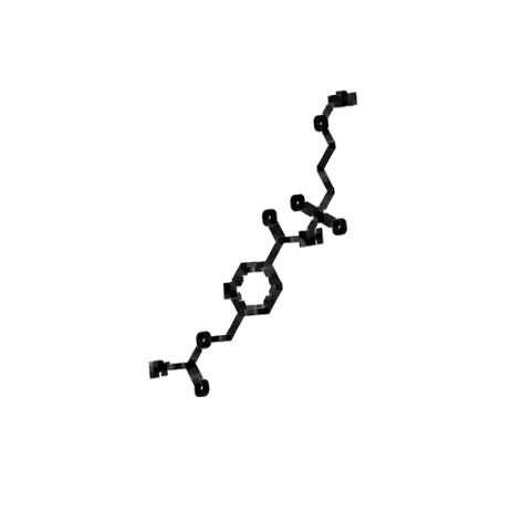 CCCCOCCCS(=O)(=O)NC(=O)c1ccc(COC(=O)C(C)C)nc1